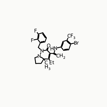 C=C(Nc1ccc(Br)c(C(F)(F)F)c1)C1=C(CC)C2(C)CCCN2N(Cc2cccc(F)c2F)C1=O